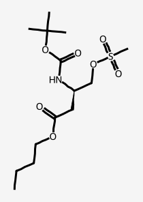 CCCCOC(=O)C[C@H](COS(C)(=O)=O)NC(=O)OC(C)(C)C